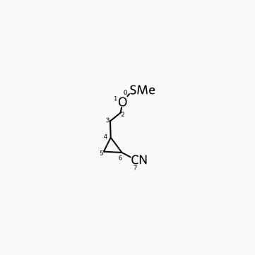 CSOCCC1CC1C#N